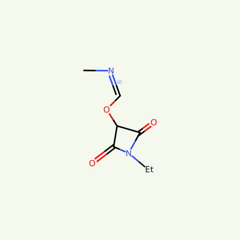 CCN1C(=O)C(O/C=N\C)C1=O